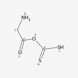 NCC(=O)OC(=S)S